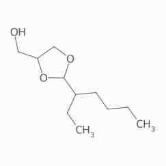 CCCCC(CC)C1OCC(CO)O1